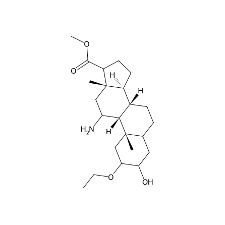 CCOC1C[C@@]2(C)C(CC[C@@H]3[C@H]2C(N)C[C@]2(C)C(C(=O)OC)CC[C@@H]32)CC1O